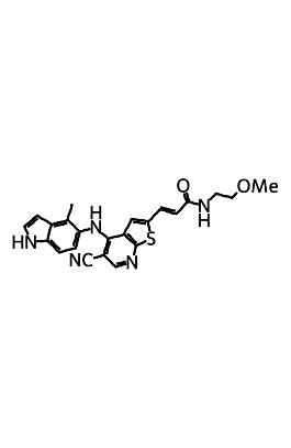 COCCNC(=O)C=Cc1cc2c(Nc3ccc4[nH]ccc4c3C)c(C#N)cnc2s1